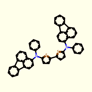 c1ccc(N(c2ccc(-c3ccc(N(c4ccccc4)c4ccc5c6c(cccc46)-c4ccccc4-5)s3)s2)c2ccc3c4c(cccc24)-c2ccccc2-3)cc1